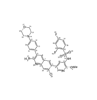 COc1ncc(-c2cc3cc(-c4ccc(N5CCOCC5)cc4)c(N)nc3cc2Cl)cc1NS(=O)(=O)c1ccc(F)cc1F